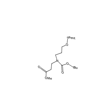 CCCCCOCCCN(CCC(=O)OC)C(=O)OC(C)(C)C